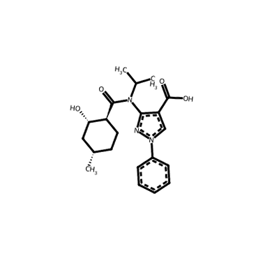 CC(C)N(C(=O)[C@H]1CC[C@H](C)C[C@@H]1O)c1nn(-c2ccccc2)cc1C(=O)O